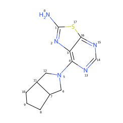 Nc1nc2c(N3CC4CCCC4C3)ncnc2s1